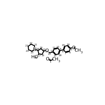 CC=O.COc1ccc(-c2ccc(COC3CC(O)C(N4CCCCC4)C3)cc2)cc1